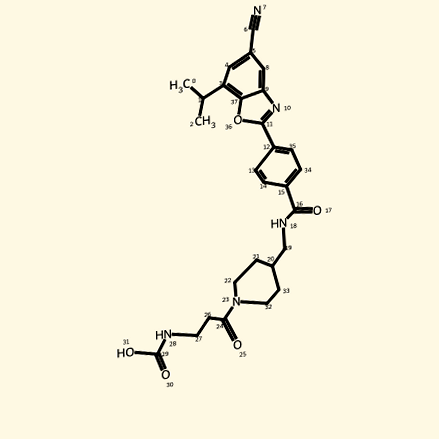 CC(C)c1cc(C#N)cc2nc(-c3ccc(C(=O)NCC4CCN(C(=O)CCNC(=O)O)CC4)cc3)oc12